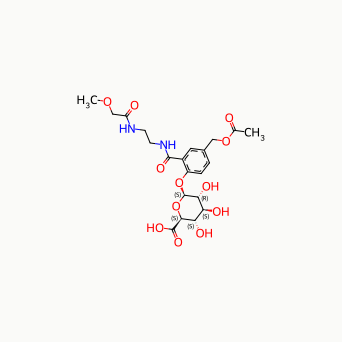 COCC(=O)NCCNC(=O)c1cc(COC(C)=O)ccc1O[C@@H]1O[C@H](C(=O)O)[C@@H](O)[C@H](O)[C@H]1O